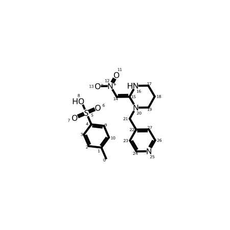 Cc1ccc(S(=O)(=O)O)cc1.O=[N+]([O-])C=C1NCCCN1Cc1ccncc1